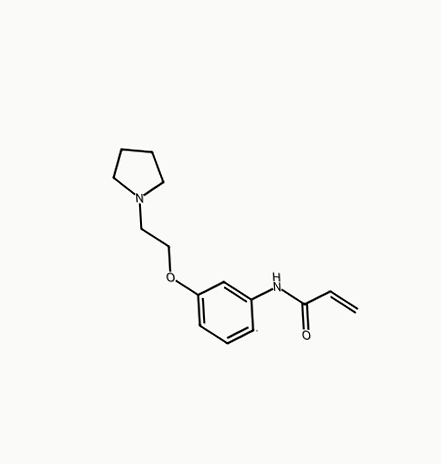 C=CC(=O)Nc1[c]ccc(OCCN2CCCC2)c1